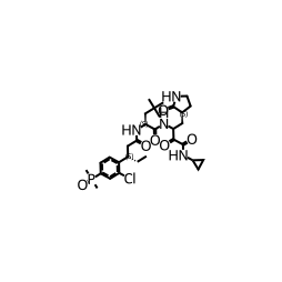 CC[C@@H](CC(=O)N[C@@H](CC(C)(C)C)C(=O)NC(C[C@@H]1CCNC1=O)C(=O)C(=O)NC1CC1)c1ccc(P(C)(C)=O)cc1Cl